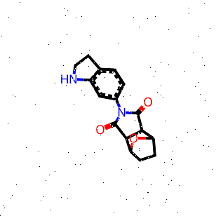 O=C1C2C3CCC(O3)C2C(=O)N1c1ccc2c(c1)NCC2